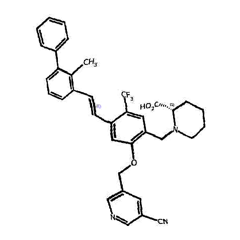 Cc1c(/C=C/c2cc(OCc3cncc(C#N)c3)c(CN3CCCC[C@H]3C(=O)O)cc2C(F)(F)F)cccc1-c1ccccc1